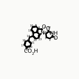 O=C1CC[C@H](N2C(=O)c3cccc4c(Cc5ccc(C(=O)O)cc5)ccc2c34)C(=O)N1